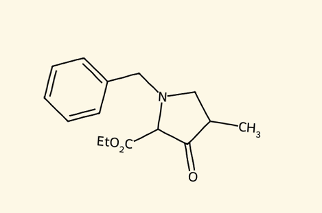 CCOC(=O)C1C(=O)C(C)CN1Cc1ccccc1